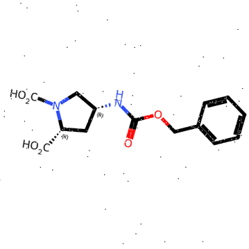 O=C(N[C@@H]1C[C@H](C(=O)O)N(C(=O)O)C1)OCc1ccccc1